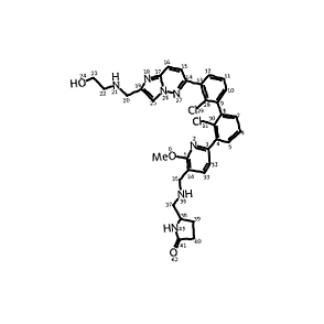 COc1nc(-c2cccc(-c3cccc(-c4ccc5nc(CNCCO)cn5n4)c3Cl)c2Cl)ccc1CNCC1CCC(=O)N1